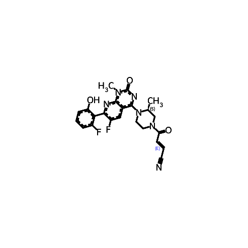 C[C@H]1CN(C(=O)/C=C/C#N)CCN1c1nc(=O)n(C)c2nc(-c3c(O)cccc3F)c(F)cc12